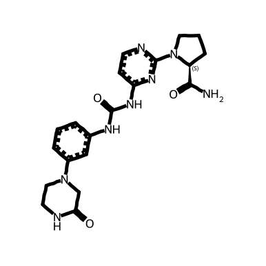 NC(=O)[C@@H]1CCCN1c1nccc(NC(=O)Nc2cccc(N3CCNC(=O)C3)c2)n1